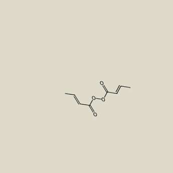 CC=CC(=O)OOC(=O)C=CC